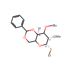 CCCCOC1[C@@H]2OC(c3ccccc3)OCC2O[C@@H](SCC)[C@H]1OC